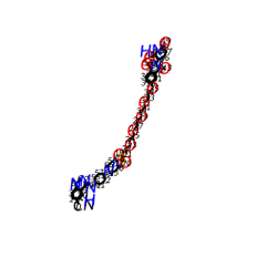 N#Cc1ccc2ncnc(N[C@H]3CC[C@@H](N4CCN(S(=O)(=O)CCOCCOCCOCCOCCOc5ccc6c(c5)C(=O)N(C5CCC(=O)NC5=O)C6=O)CC4)CC3)c2c1